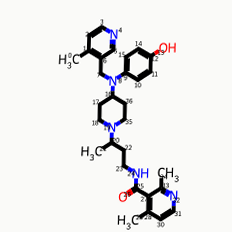 Cc1ccncc1CN(c1ccc(O)cc1)C1CCN(C(C)CCNC(=O)c2c(C)ccnc2C)CC1